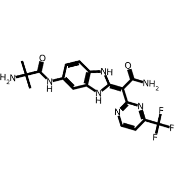 CC(C)(N)C(=O)Nc1ccc2c(c1)NC(=C(C(N)=O)c1nccc(C(F)(F)F)n1)N2